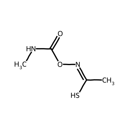 CNC(=O)ON=C(C)S